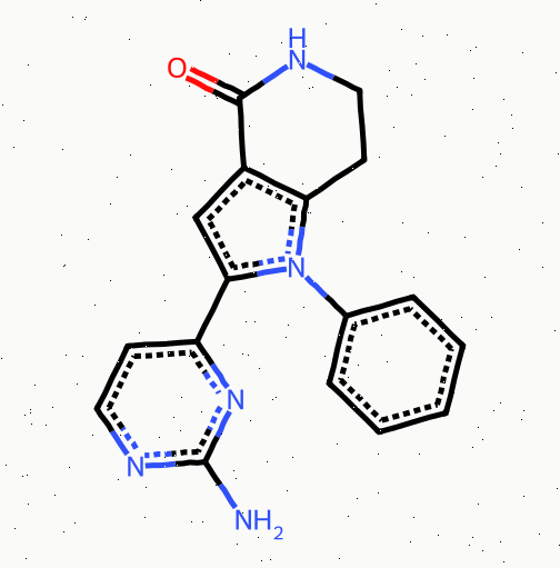 Nc1nccc(-c2cc3c(n2-c2ccccc2)CCNC3=O)n1